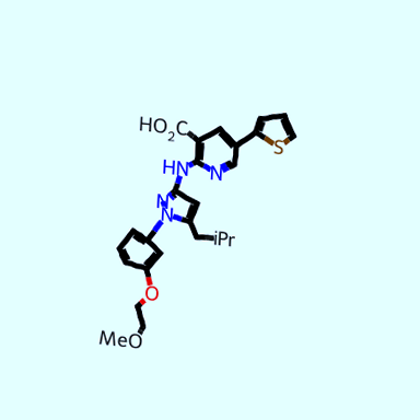 COCCOc1cccc(-n2nc(Nc3ncc(-c4cccs4)cc3C(=O)O)cc2CC(C)C)c1